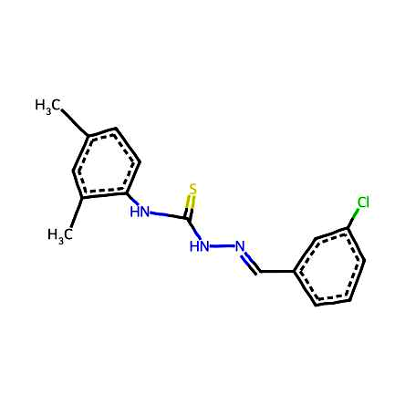 Cc1ccc(NC(=S)NN=Cc2cccc(Cl)c2)c(C)c1